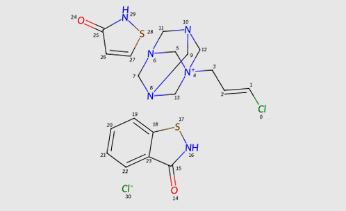 ClC=CC[N+]12CN3CN(CN(C3)C1)C2.O=c1[nH]sc2ccccc12.O=c1ccs[nH]1.[Cl-]